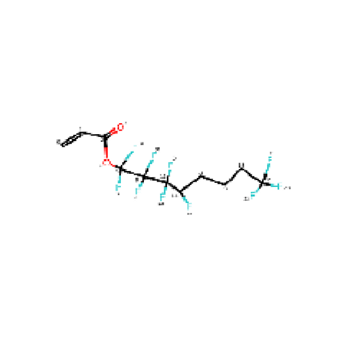 C=CC(=O)OC(F)(F)C(F)(F)C(F)(F)C(F)CCCC(F)(F)F